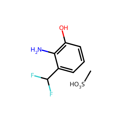 CS(=O)(=O)O.Nc1c(O)cccc1C(F)F